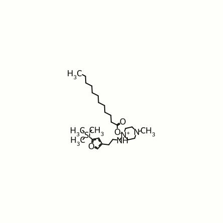 CCCCCCCCCCCC(=O)O[N+]1(NCCc2coc([Si](C)(C)C)c2)CCN(C)CC1